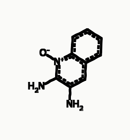 Nc1cc2ccccc2[n+]([O-])c1N